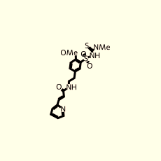 CNC(=S)NS(=O)(=O)c1cc(CCNC(=O)/C=C/c2ccccn2)ccc1OC